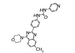 Cc1ccc2c(N3CCOCC3)nc(-c3ccc(NC(=O)Nc4ccncc4)cc3)nc2c1